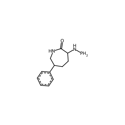 O=C1NCC(c2ccccc2)CCC1NP